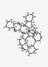 c1cc2c3c(c1)ccc1c3c3c4c(ccc3n1-c1nc3ccccc3nc1-n1c3ccccc3c3ccccc31)oc1cccc-2c14